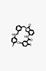 O=C(Nc1cccc2c1CN(Cc1cccc(CNc3ccc(F)cc3)c1)C2=O)C1=CC(Cl)=CCC1=S